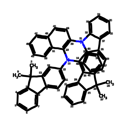 CC1(C)c2ccccc2-c2ccc(N(c3cccc4c3-c3ccccc3C4(C)C)c3c(-n4c5ccccc5c5ccccc54)ccc4ccccc34)cc21